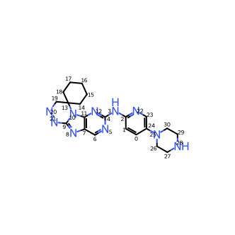 c1cc(Nc2ncc3nc4n(c3n2)C2(CCCCC2)CN=N4)ncc1N1CCNCC1